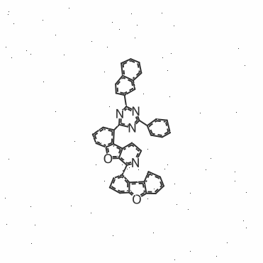 c1ccc(-c2nc(-c3ccc4ccccc4c3)nc(-c3cccc4oc5c(-c6cccc7oc8ccccc8c67)nccc5c34)n2)cc1